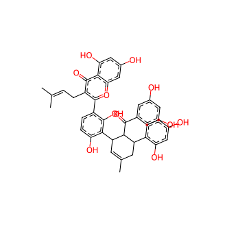 CC(C)=CCc1c(-c2ccc(O)c(C3C=C(C)CC(c4ccc(O)cc4O)C3C(=O)c3cc(O)cc(O)c3)c2O)oc2cc(O)cc(O)c2c1=O